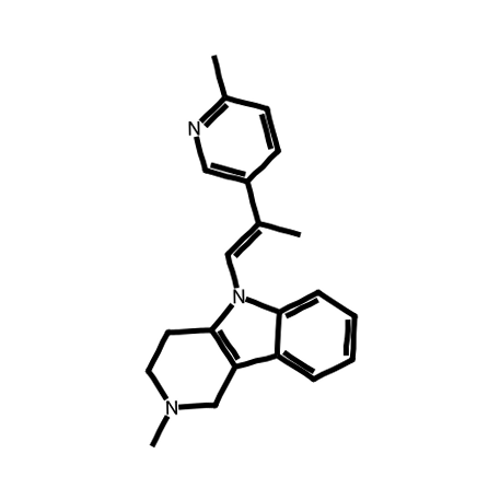 CC(=Cn1c2c(c3ccccc31)CN(C)CC2)c1ccc(C)nc1